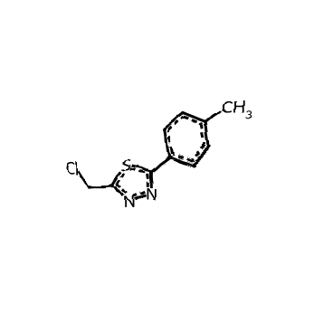 Cc1ccc(-c2nnc(CCl)s2)cc1